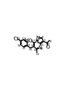 CC(=O)c1cnn2c(O)c(Cc3ccc(Cl)cc3)c(C)nc12